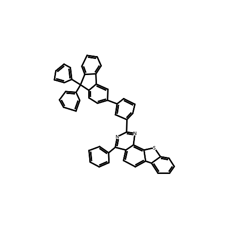 c1ccc(-c2nc(-c3cccc(-c4ccc5c(c4)-c4ccccc4C5(c4ccccc4)c4ccccc4)c3)nc3c2ccc2c4ccccc4sc23)cc1